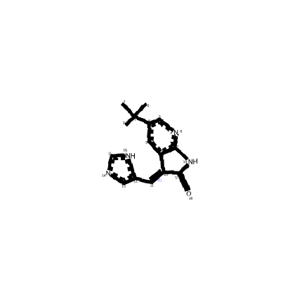 CC(C)(C)c1cnc2c(c1)/C(=C\c1cnc[nH]1)C(=O)N2